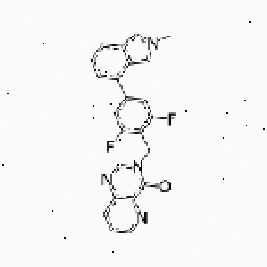 Cn1cc2cccc(-c3cc(F)c(Cn4cnc5cccnc5c4=O)c(F)c3)c2c1